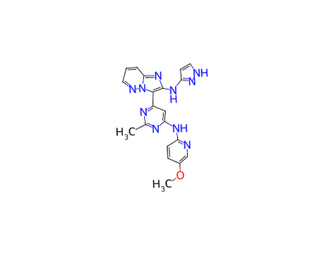 COc1ccc(Nc2cc(-c3c(Nc4cc[nH]n4)nc4cccnn34)nc(C)n2)nc1